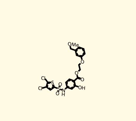 COCc1cccc(OCCOC(=O)c2ccc(NS(=O)(=O)c3cc(Cl)c(Cl)s3)cc2O)c1